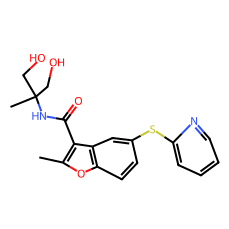 Cc1oc2ccc(Sc3ccccn3)cc2c1C(=O)NC(C)(CO)CO